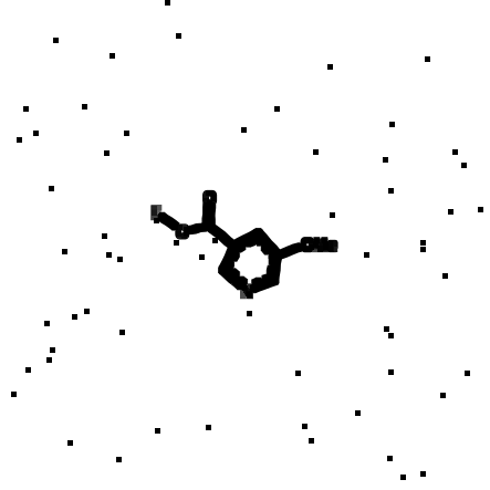 COc1cncc(C(=O)OF)c1